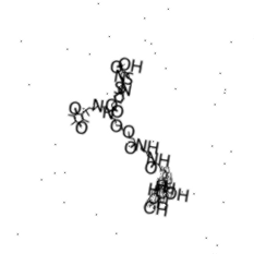 CC1=C(C)C(=O)C(C(C)(C)CCN(C)CCN(CCOCCOCCC(=O)NCCCNC(=O)CC[C@H](C)[C@@H]2CC[C@@H]3[C@@H]4[C@@H](CC[C@]32C)[C@]2(C)CC[C@H](O)C[C@@H]2C[C@@H]4O)C(=O)Oc2ccc3nc(C4=NC(C(=O)O)CS4)sc3c2)=C(C)C1=O